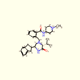 CCC(CC)[C@@H]1C(=O)NC(C2Cc3ccccc3C2)CN1Cc1ccccc1C(=O)NC1CCN(C)CC1